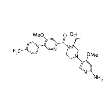 COc1cc(C(=O)N2CCN(c3cnc(N)cc3OC)C[C@@H]2C(C)O)ncc1-c1ccc(C(F)(F)F)cc1